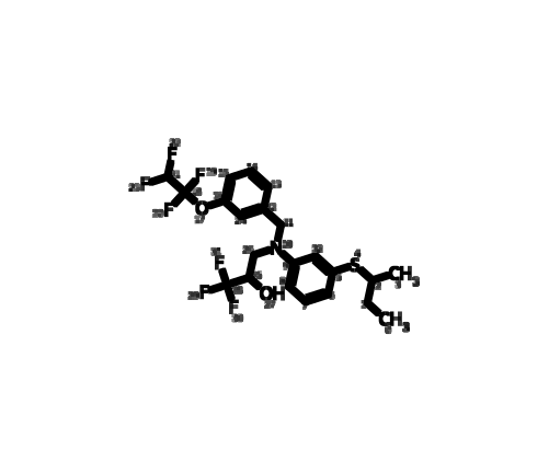 CCC(C)Sc1cccc(N(Cc2cccc(OC(F)(F)C(F)F)c2)CC(O)C(F)(F)F)c1